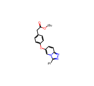 CC(C)c1nnc2ccc(Oc3ccc(CC(=O)OC(C)(C)C)cc3)cn12